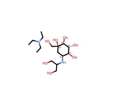 CCN(CC)CC.OCC(CO)N[C@H]1C[C@](O)(CO)[C@@H](O)[C@H](O)[C@H]1O